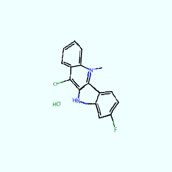 C[n+]1c2ccccc2c(Cl)c2[nH]c3cc(F)ccc3c21.Cl